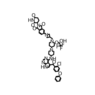 O=C(O)C(F)(F)F.O=C1CCC(N2C(=O)c3ccc(N4CC(CN5CCC(N6CCC(Nc7ncnc8[nH]cc(C(=O)c9ccc(Oc%10ccccc%10)cc9Cl)c78)CC6)CC5)C4)cc3C2=O)C(=O)N1